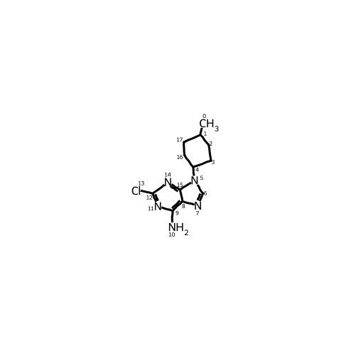 CC1CCC(n2cnc3c(N)nc(Cl)nc32)CC1